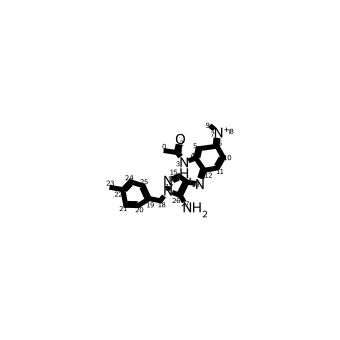 CC(=O)NC1=CC(=[N+](C)C)C=C/C1=N/c1cnn(Cc2ccc(C)cc2)c1N